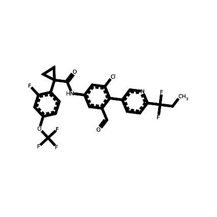 CCC(F)(F)c1ccc(-c2c(Cl)cc(NC(=O)C3(c4ccc(OC(F)(F)F)cc4F)CC3)cc2C=O)cn1